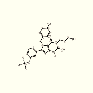 CN1c2nc(-c3cccc(OC(F)(F)F)c3)n(Cc3ccc(Cl)cn3)c2C(=O)N(CCCO)C1O